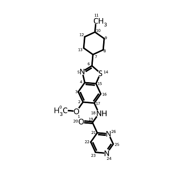 COc1cc2nc(C3CCC(C)CC3)sc2cc1NC(=O)c1ccncn1